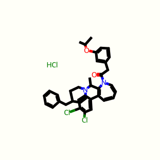 CC(C)Oc1cccc(CC(=O)N2C=CC=CC(c3ccc(Cl)c(Cl)c3)=C2C(C)N2CCC(Cc3ccccc3)CC2)c1.Cl